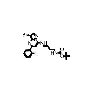 CC(C)(C)OC(=O)NCCCCNc1cc(-c2ccccc2Cl)nc2c(Br)cnn12